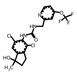 CC1(O)CCc2c1cc(Cl)c(NC(=O)NCc1cc(OC(F)(F)F)ccn1)c2Cl